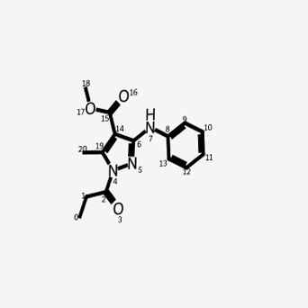 CCC(=O)n1nc(Nc2ccccc2)c(C(=O)OC)c1C